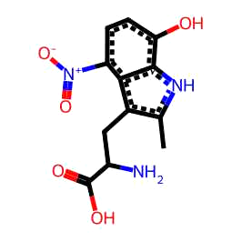 Cc1[nH]c2c(O)ccc([N+](=O)[O-])c2c1CC(N)C(=O)O